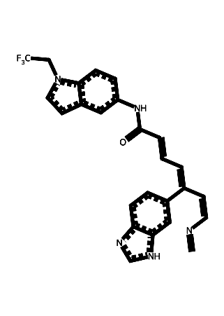 C=N\C=C/C(=C/C=C/C(=O)Nc1ccc2c(ccn2CC(F)(F)F)c1)c1ccc2nc[nH]c2c1